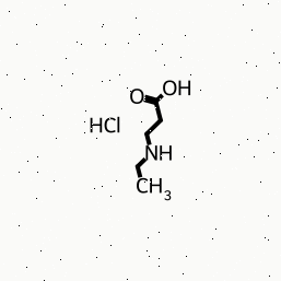 CCNCCC(=O)O.Cl